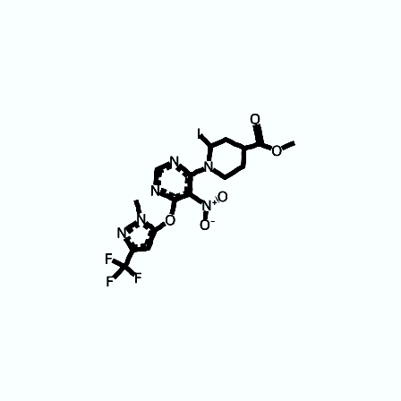 COC(=O)C1CCN(c2ncnc(Oc3cc(C(F)(F)F)nn3C)c2[N+](=O)[O-])C(I)C1